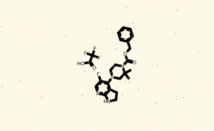 CC1(C)CN(c2c(F)cnc3c2CCN3)CCN1C(=O)OCc1ccccc1.O=C(O)C(F)(F)F